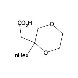 CCCCCCC1(CC(=O)O)COCCO1